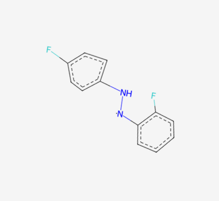 Fc1ccc(N[N]c2ccccc2F)cc1